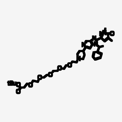 Cc1cc(-c2nc3cnc(C4CCN(CCOCCOCCOCCOCCOCCC(=O)OC(C)(C)C)CC4)cc3n2C(C)c2ccccc2)nn(C)c1=O